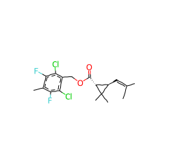 CC(C)=C[C@@H]1[C@@H](C(=O)OCc2c(Cl)c(F)c(C)c(F)c2Cl)C1(C)C